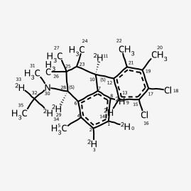 [2H]c1c([2H])c(C)c2c(c1[2H])[C@]([2H])(c1c([2H])c(Cl)c(Cl)c(C)c1C)C(C)C(C)(C)[C@]2([2H])N(C)C([2H])([2H])C